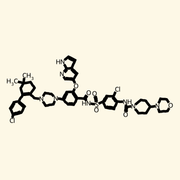 CC1(C)CCC(CN2CCN(c3ccc(C(=O)NS(=O)(=O)c4ccc(NC(=O)N5CCC(N6CCOCC6)CC5)c(Cl)c4)c(Oc4cnc5[nH]ccc5c4)c3)CC2)=C(c2ccc(Cl)cc2)C1